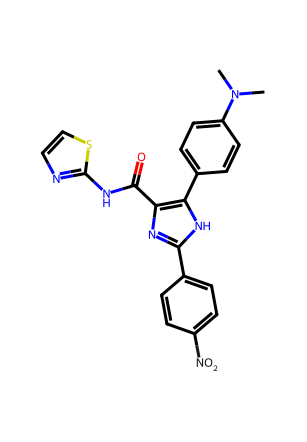 CN(C)c1ccc(-c2[nH]c(-c3ccc([N+](=O)[O-])cc3)nc2C(=O)Nc2nccs2)cc1